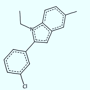 CCn1c(-c2cccc(Cl)c2)cc2cc(C)ccc21